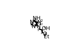 CCOCC(O)Cn1cnc2c(N)ncnc21